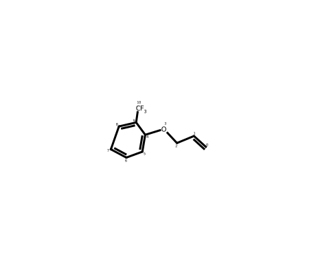 C=CCOc1ccccc1C(F)(F)F